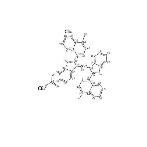 C=C(C)C.Cc1ccc(C2=Cc3ccccc3[CH]2[Zr+2][CH]2C(c3ccc(C)c4ccccc34)=Cc3ccccc32)c2ccccc12.[Cl-].[Cl-]